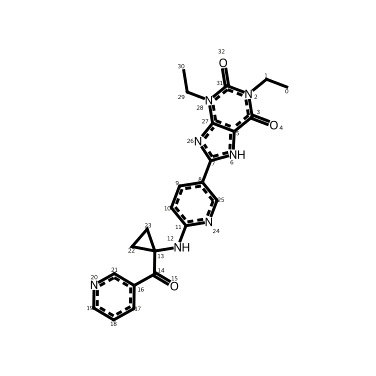 CCn1c(=O)c2[nH]c(-c3ccc(NC4(C(=O)c5cccnc5)CC4)nc3)nc2n(CC)c1=O